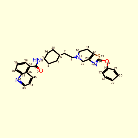 O=C(N[C@H]1CC[C@H](CCN2CCc3sc(Oc4ccccc4)nc3C2)CC1)c1cccc2ncccc12